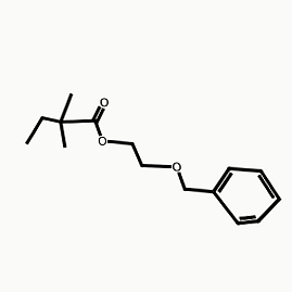 CCC(C)(C)C(=O)OCCOCc1ccccc1